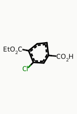 CCOC(=O)c1ccc(C(=O)O)cc1Cl